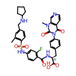 Cc1cc(CNC2CCCC2)ccc1S(=O)(=O)Nc1ccc(C(=O)N[C@@H](Cc2ccc(-n3c(=O)c4ccncc4n(C)c3=O)cc2)C(=O)O)c(F)c1